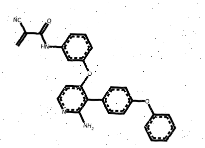 C=C(C#N)C(=O)Nc1cccc(Oc2ccnc(N)c2-c2ccc(Oc3ccccc3)cc2)c1